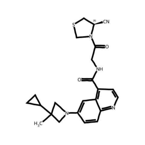 CC1(C2CC2)CN(c2ccc3nccc(C(=O)NCC(=O)N4CSC[C@H]4C#N)c3c2)C1